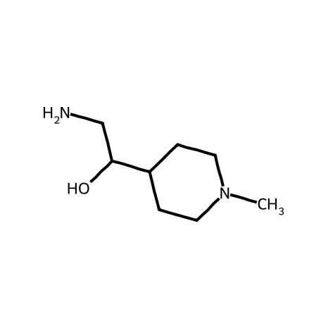 CN1CCC(C(O)CN)CC1